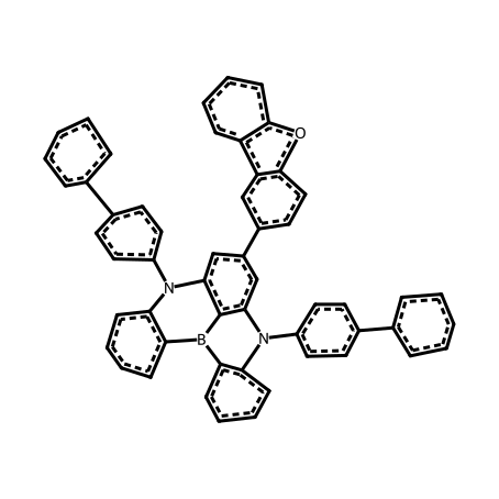 c1ccc(-c2ccc(N3c4ccccc4B4c5ccccc5N(c5ccc(-c6ccccc6)cc5)c5cc(-c6ccc7oc8ccccc8c7c6)cc3c54)cc2)cc1